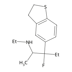 CCNC(C)C(F)(CC)c1ccc2c(c1)CCS2